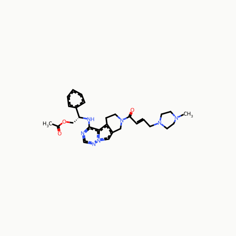 CC(=O)OC[C@@H](Nc1ncnn2cc3c(c12)CCN(C(=O)/C=C/CN1CCN(C)CC1)C3)c1ccccc1